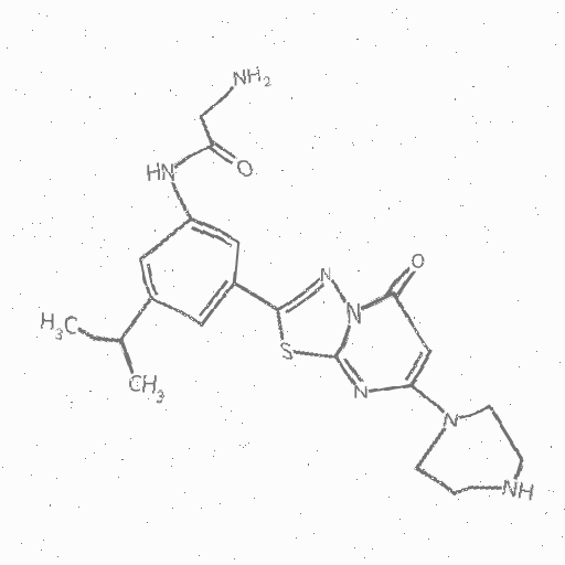 CC(C)c1cc(NC(=O)CN)cc(-c2nn3c(=O)cc(N4CCNCC4)nc3s2)c1